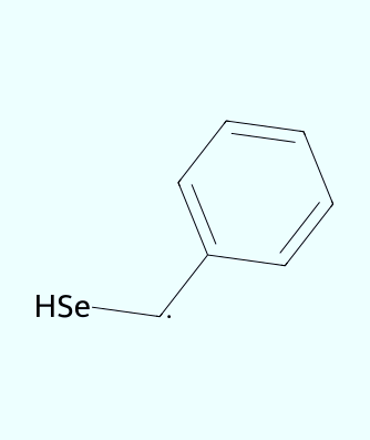 [SeH][CH]c1ccccc1